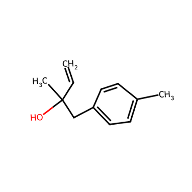 C=CC(C)(O)Cc1ccc(C)cc1